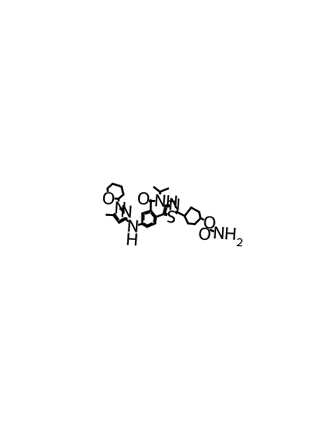 Cc1cc(Nc2ccc(-c3cnc(C4CCC(OC(N)=O)CC4)s3)c(C(=O)NC(C)C)c2)nn1C1CCCCO1